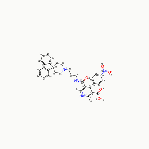 COC(=O)C1=C(C)NC(C)=C(C(=O)NCCCN2CCC(c3ccccc3)(c3ccccc3)CC2)C1c1ccc([N+](=O)[O-])cc1